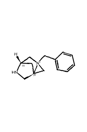 c1ccc(C[N+]23C[C@@H]4C[C@@]2(CN4)C3)cc1